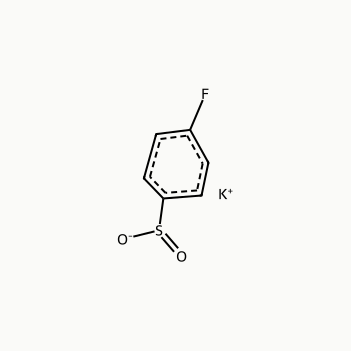 O=S([O-])c1ccc(F)cc1.[K+]